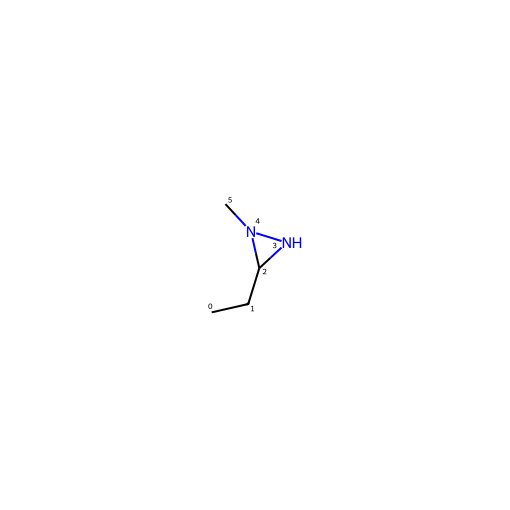 CCC1NN1C